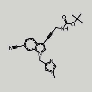 Cn1cnc(Cn2cc(C#CCNC(=O)OC(C)(C)C)c3ccc(C#N)cc32)c1